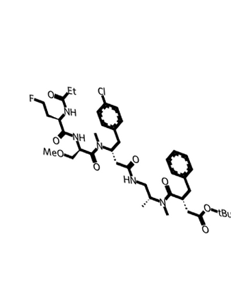 CCC(=O)N[C@H](CCF)C(=O)N[C@H](COC)C(=O)N(C)[C@@H](CC(=O)NC[C@@H](C)N(C)C(=O)[C@@H](CC(=O)OC(C)(C)C)Cc1ccccc1)Cc1ccc(Cl)cc1